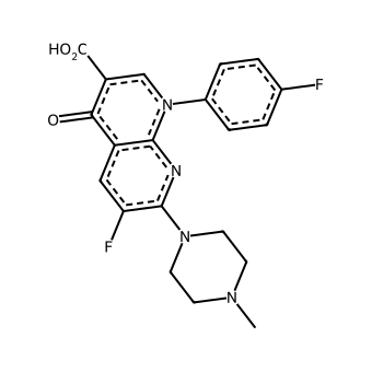 CN1CCN(c2nc3c(cc2F)c(=O)c(C(=O)O)cn3-c2ccc(F)cc2)CC1